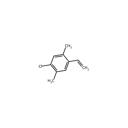 C=Cc1cc(C)c(Cl)cc1C